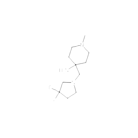 CN1CCC(N)(CN2CCC(F)(F)C2)CC1